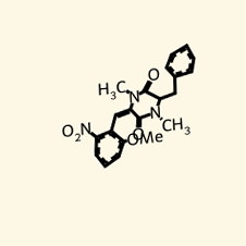 COc1cccc([N+](=O)[O-])c1C=C1C(=O)N(C)C(Cc2ccccc2)C(=O)N1C